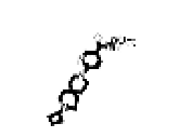 CCCCCCCCNC(=O)c1ccc(N2CCC3(CC2)CCN(C2CCC2)CC3)nc1